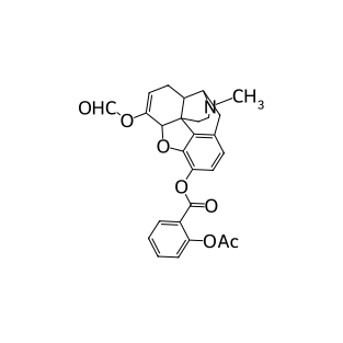 CC(=O)Oc1ccccc1C(=O)Oc1ccc2c3c1OC1C(OC=O)=CCC4C(C2)N(C)CCC314